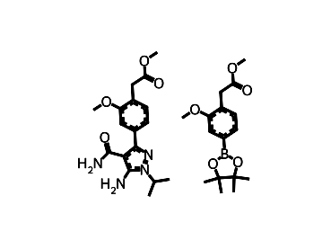 COC(=O)Cc1ccc(-c2nn(C(C)C)c(N)c2C(N)=O)cc1OC.COC(=O)Cc1ccc(B2OC(C)(C)C(C)(C)O2)cc1OC